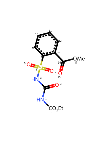 CCOC(=O)NC(=O)NS(=O)(=O)c1ccccc1C(=O)OC